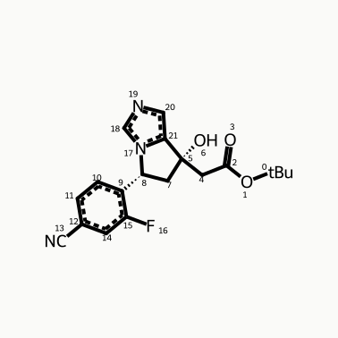 CC(C)(C)OC(=O)C[C@@]1(O)C[C@H](c2ccc(C#N)cc2F)n2cncc21